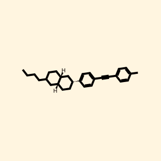 CCCCC1CC[C@@H]2C[C@H](c3ccc(C#Cc4ccc(C)cc4)cc3)CC[C@@H]2C1